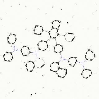 C1=CCC(c2c(-c3ccc(N(c4ccc(N(c5ccccc5)c5ccccc5)cc4)c4cccc5ccccc45)cc3)c(-c3ccc(N(c4ccc(N(c5ccccc5)c5ccccc5)cc4)C4CC=Cc5ccccc54)cc3)c(-c3ccccc3)c3ccccc23)C=C1